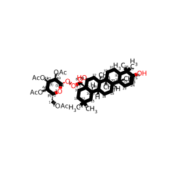 CC(=O)OC[C@H]1O[C@@H](OOC(=O)[C@]23CCC(C)(C)C[C@@H]2[C@H]2CC[C@@H]4[C@@]5(C)CC=C(O)C(C)(C)C5CC[C@@]4(C)[C@]2(C)C[C@H]3O)[C@H](OC(C)=O)[C@H](OC(C)=O)[C@@H]1OC(C)=O